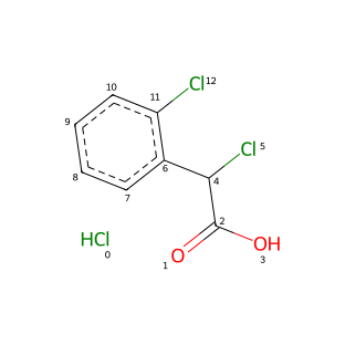 Cl.O=C(O)C(Cl)c1ccccc1Cl